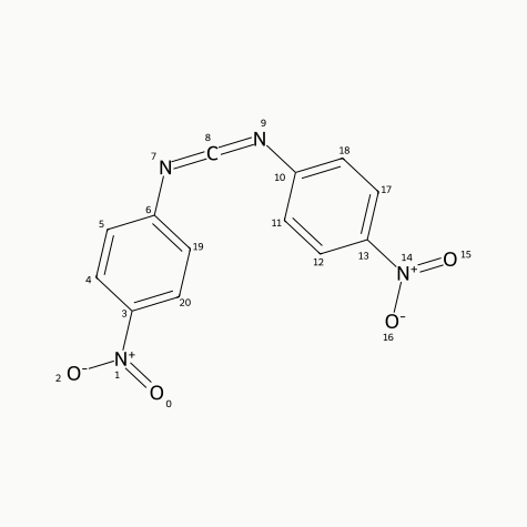 O=[N+]([O-])c1ccc(N=C=Nc2ccc([N+](=O)[O-])cc2)cc1